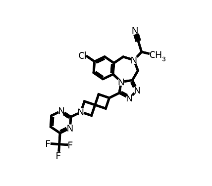 CC(C#N)N1Cc2cc(Cl)ccc2-n2c(nnc2C2CC3(C2)CN(c2nccc(C(F)(F)F)n2)C3)C1